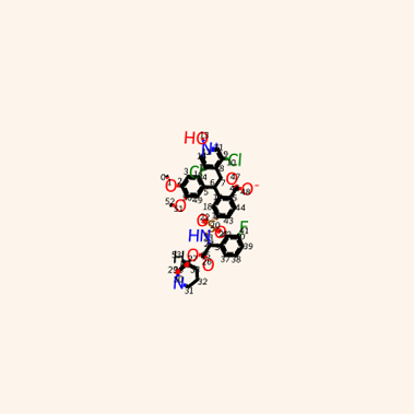 COc1ccc(C(Cc2c(Cl)c[n+](O)cc2Cl)c2cc(S(=O)(=O)NC(C(=O)O[C@H]3CN4CCC3CC4)c3cccc(F)c3)ccc2C(=O)[O-])cc1OC